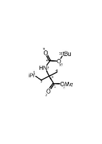 COC(=O)C(C)(CC(C)C)NC(=O)OC(C)(C)C